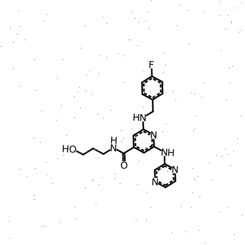 O=C(NCCCO)c1cc(NCc2ccc(F)cc2)nc(Nc2cnccn2)c1